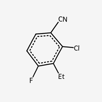 CCc1c(F)ccc(C#N)c1Cl